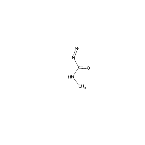 CNC(=O)N=[N]